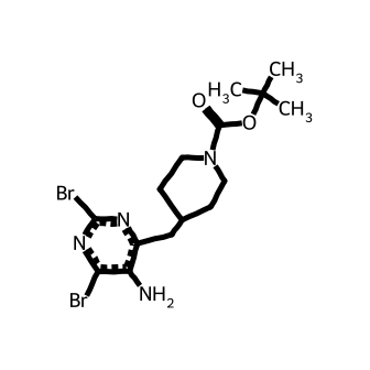 CC(C)(C)OC(=O)N1CCC(Cc2nc(Br)nc(Br)c2N)CC1